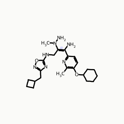 Cc1nc(/C(N)=C(\CNc2nc(CC3CCC3)no2)N(C)N)ccc1OC1CCCCC1